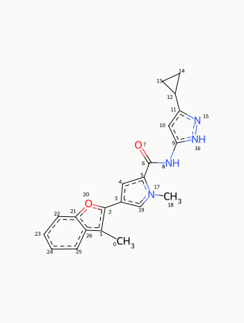 Cc1c(-c2cc(C(=O)Nc3cc(C4CC4)n[nH]3)n(C)c2)oc2ccccc12